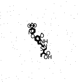 CCC(C(=O)O)C1CN=C(c2cc3cc(Oc4ccc(S(C)(=O)=O)cn4)cc(OC)c3[nH]2)S1